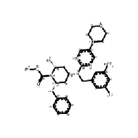 CC[C@@H]1C[C@H](N(Cc2cc(Cl)cc(C(F)(F)F)c2)c2ncc(N3CCOCC3)cn2)C[C@H](Cc2ccccc2)N1C(=O)OC(C)C